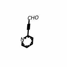 O=CC#Cc1ccccn1